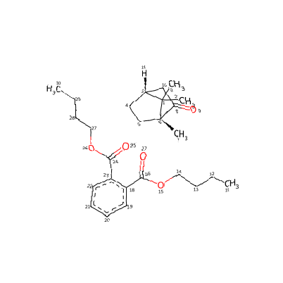 CC1(C)[C@@H]2CC[C@@]1(C)C(=O)C2.CCCCOC(=O)c1ccccc1C(=O)OCCCC